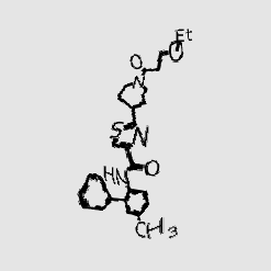 CCOCCC(=O)N1CCC(c2nc(C(=O)Nc3ccc(C)cc3-c3ccccc3)cs2)CC1